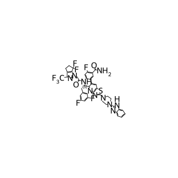 NC(=O)c1cc(-c2cc3sc(N4CCN(c5nc6ccccc6[nH]5)CC4)nc3nc2[C@H](Cc2cc(F)cc(F)c2)NC(=O)Cn2nc(C(F)(F)F)c3c2C(F)(F)CC3)ccc1F